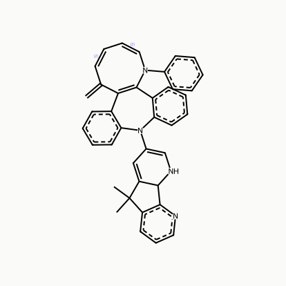 C=C1/C=C\C=C/N(c2ccccc2)C2=C1c1ccccc1N(C1=CNC3C(=C1)C(C)(C)c1cccnc13)c1ccccc12